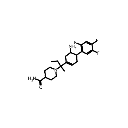 CCC(C)(C1=CCC(c2cc(F)c(F)cc2F)C(N)C1)N1CCC(C(N)=O)CC1